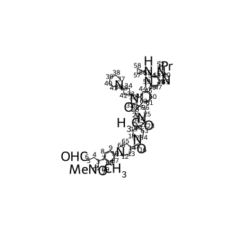 CNC(=O)C(CCC=O)c1ccc(N2CCC(C(=O)N3CCC(C)(C(=O)N4CCC5(CC4)C(=O)N(C4CC(N6CCCCC6)C4)c4cc(-c6cc7ncn(C(C)C)c7c(NC7CC7)n6)ccc45)CC3)CC2)cc1C